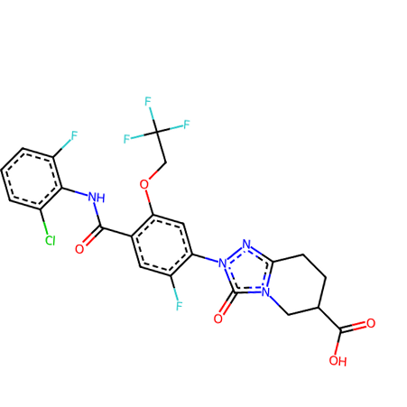 O=C(Nc1c(F)cccc1Cl)c1cc(F)c(-n2nc3n(c2=O)CC(C(=O)O)CC3)cc1OCC(F)(F)F